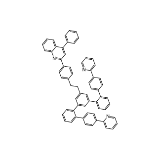 c1ccc(-c2cc(-c3ccc(CCc4cc(-c5ccccc5-c5ccc(-c6ccccn6)cc5)cc(-c5ccccc5-c5ccc(-c6ccccn6)cc5)c4)cc3)nc3ccccc23)cc1